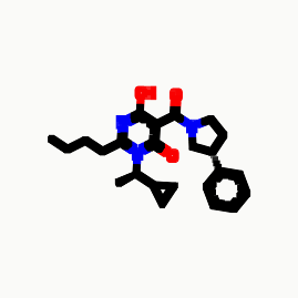 CCCCc1nc(O)c(C(=O)N2CC[C@H](c3ccccc3)C2)c(=O)n1[C@H](C)C1CC1